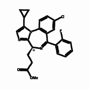 COC(=O)CC[C@@H]1N=C(c2ccccc2F)c2cc(Cl)ccc2-n2c(C3CC3)cnc21